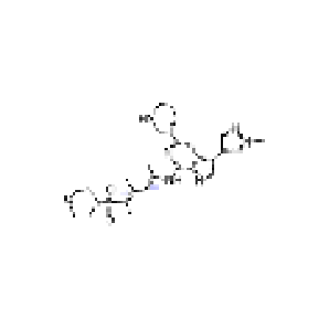 C/C(=C\C(C)=C(/C)S(=O)(=O)N1CCOCC1)Nc1nc(C2=CCCNC2)cn2c(-c3cnn(C)c3)cnc12